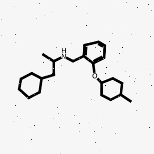 CC1CCC(Oc2ccccc2CNC(C)CC2CCCCC2)CC1